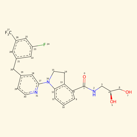 O=C(NC[C@H](O)CO)c1cccc2c1CCN2c1cc(Cc2cc(F)cc(C(F)(F)F)c2)ccn1